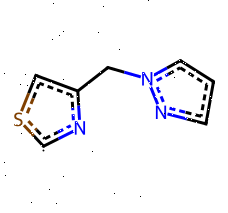 [c]1nc(Cn2cccn2)cs1